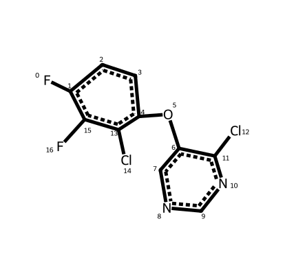 Fc1ccc(Oc2cncnc2Cl)c(Cl)c1F